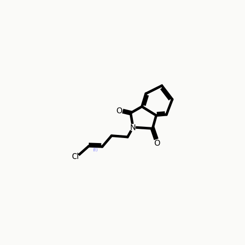 O=C1c2ccccc2C(=O)N1CC/C=C/Cl